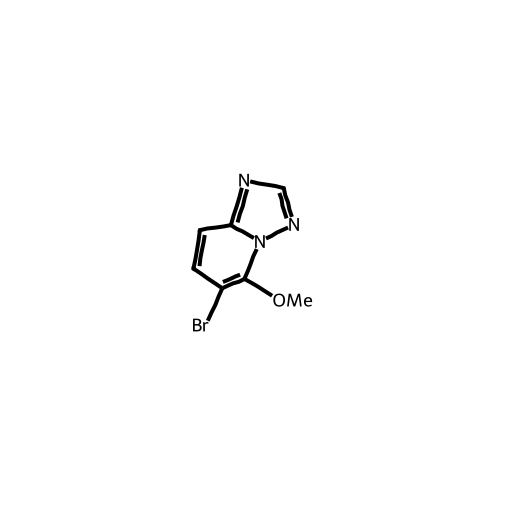 COc1c(Br)ccc2ncnn12